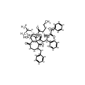 CC[C@H](C)[C@H](N)C(=O)N[C@@H](CC(C)C)[C@@H](O)C1C(=O)CCC(Cc2ccccc2)C(=O)[C@]1(C(=O)CN(NC(=O)Cc1ccccc1)c1ccccn1)C(C)C